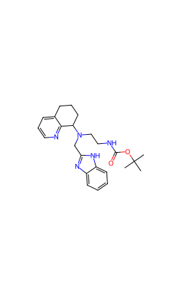 CC(C)(C)OC(=O)NCCN(Cc1nc2ccccc2[nH]1)C1CCCc2cccnc21